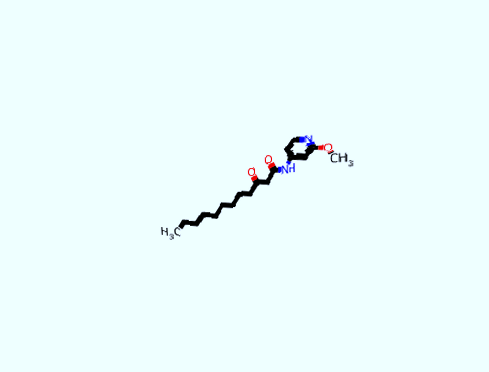 CCCCCCCCCC(=O)CC(=O)Nc1ccnc(OC)c1